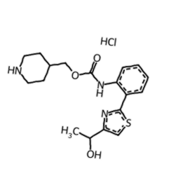 CC(O)c1csc(-c2ccccc2NC(=O)OCC2CCNCC2)n1.Cl